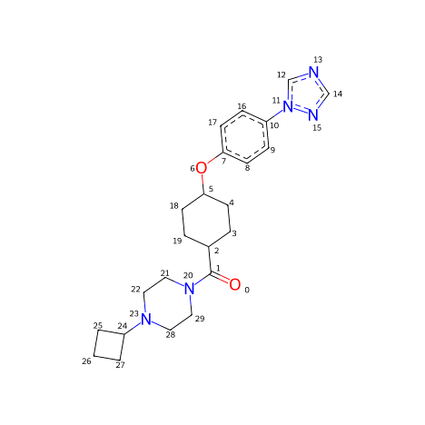 O=C(C1CCC(Oc2ccc(-n3cncn3)cc2)CC1)N1CCN(C2CCC2)CC1